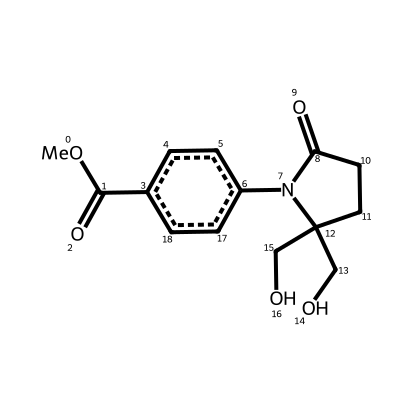 COC(=O)c1ccc(N2C(=O)CCC2(CO)CO)cc1